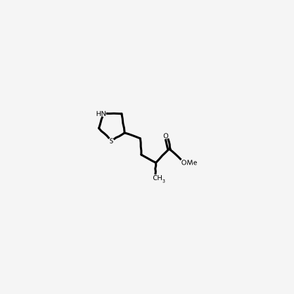 COC(=O)C(C)CCC1CNCS1